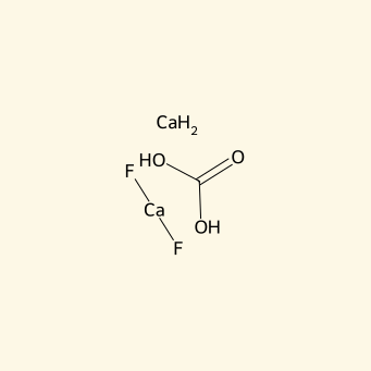 O=C(O)O.[CaH2].[F][Ca][F]